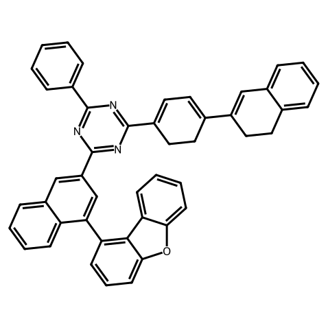 C1=C(C2=Cc3ccccc3CC2)CCC(c2nc(-c3ccccc3)nc(-c3cc(-c4cccc5oc6ccccc6c45)c4ccccc4c3)n2)=C1